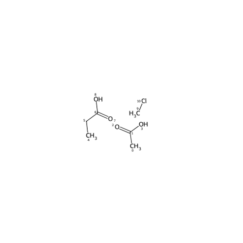 CC(=O)O.CCC(=O)O.CCl